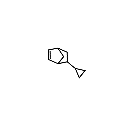 C1=CC2CC1CC2C1CC1